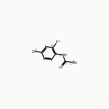 CCC(C)C(=O)Nc1ccc(Cl)cc1F